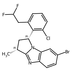 C[C@@H]1C[C@H](c2c(Cl)cccc2CC(F)F)n2c1nc1ccc(Br)cc12